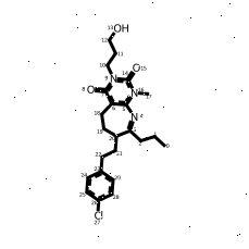 CCCC1=Nc2c(c(=O)n(CCCO)c(=O)n2C)CCC1CCc1ccc(Cl)cc1